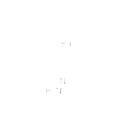 CC(C)(C)c1cccc(C=NN)c1